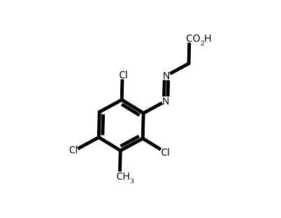 Cc1c(Cl)cc(Cl)c(/N=N/CC(=O)O)c1Cl